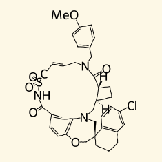 COc1ccc(CN2C/C=C/CS(=O)(=O)NC(=O)c3ccc4c(c3)N(C[C@@H]3CC[C@H]3C2=O)C[C@@]2(CCCc3cc(Cl)ccc32)CO4)cc1